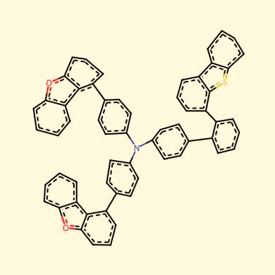 c1ccc(-c2cccc3c2sc2ccccc23)c(-c2ccc(N(c3ccc(-c4cccc5oc6ccccc6c45)cc3)c3ccc(-c4cccc5oc6ccccc6c45)cc3)cc2)c1